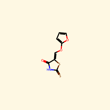 O=C1NC(=S)SC1=COc1ccco1